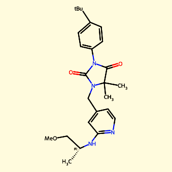 COC[C@@H](C)Nc1cc(CN2C(=O)N(c3ccc(C(C)(C)C)cc3)C(=O)C2(C)C)ccn1